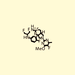 COc1nc(N2C[C@H]3CSC(N)=N[C@@]3(c3cc(NC(CF)CF)ccc3F)C2)nc(C)c1F